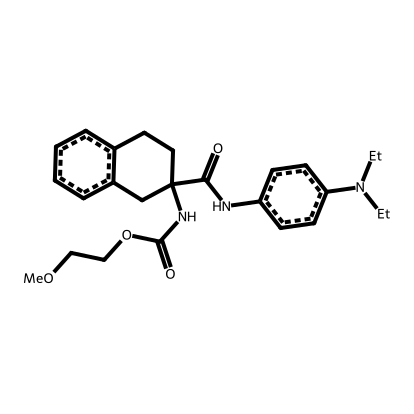 CCN(CC)c1ccc(NC(=O)C2(NC(=O)OCCOC)CCc3ccccc3C2)cc1